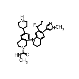 CNC(=O)N1CCc2cc(C3CCNCC3)cc(N3CCCc4cc(-c5cnn(C)c5)c(C(F)F)cc43)c2C1